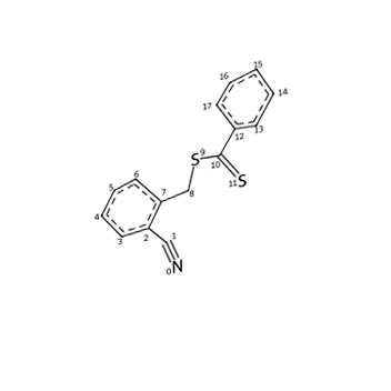 N#Cc1ccccc1CSC(=S)c1ccccc1